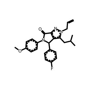 C=CCn1nc2c(c1CC(C)C)C(c1ccc(F)cc1)N(c1ccc(OC)cc1)C2=O